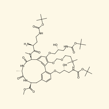 COC(=O)[C@@H]1Cc2ccc(OC[C@H](O)CNC(=O)OC(C)(C)C)c(c2)-c2cc(cc(OC[C@H](O)CNC(=O)OC(C)(C)C)c2OCOCC[Si](C)(C)C)[C@H](N(C)C(=O)[C@@H](N)CCNC(=O)OC(C)(C)C)C(=O)N[C@@H](C)C(=O)N1